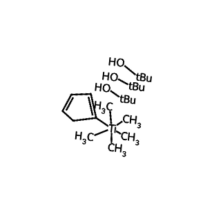 CC(C)(C)O.CC(C)(C)O.CC(C)(C)O.[CH3][Ti]([CH3])([CH3])([CH3])([CH3])[C]1=CC=CC1